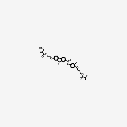 C=C(F)C(=O)OCCCOc1ccc(OC(=O)c2ccc3c(c2)C(C)c2cc(OCCOC(=O)C(=C)CO)ccc2-3)cc1C